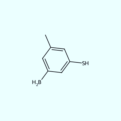 Bc1cc(C)cc(S)c1